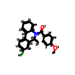 COc1ccc(C(=O)N2c3ccccc3-c3ccc(F)cc3C2C)cc1